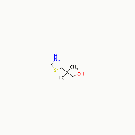 CC(C)(CO)C1CNCS1